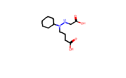 O=C(O)CCCN(NCC(=O)O)C1CCCCC1